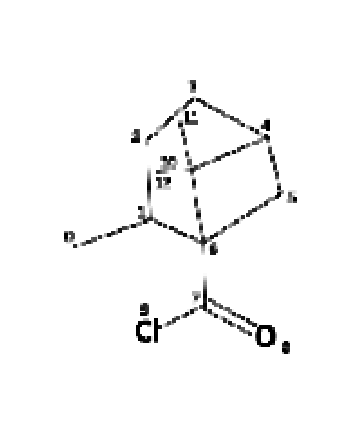 CC1CCC2CC1(C(=O)Cl)C2(C)C